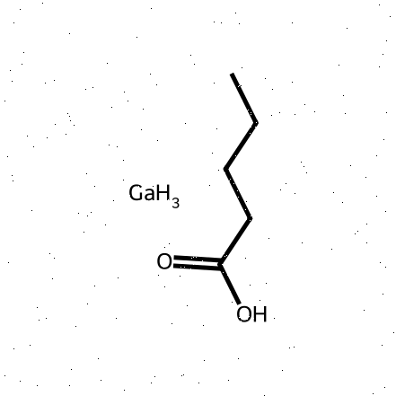 CCCCC(=O)O.[GaH3]